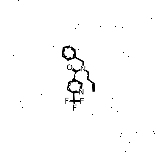 C=CCCN(Cc1ccccc1)C(=O)c1ccc(C(F)(F)F)nc1